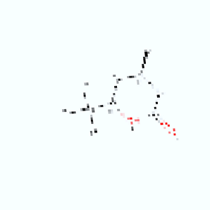 C[C@@H](CC=O)C[C@H](O)C(C)(C)C